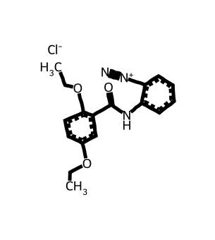 CCOc1ccc(OCC)c(C(=O)Nc2ccccc2[N+]#N)c1.[Cl-]